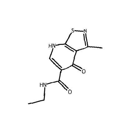 CCNC(=O)c1c[nH]c2snc(C)c2c1=O